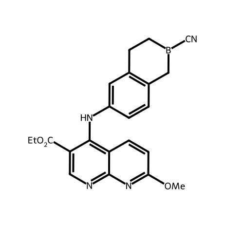 CCOC(=O)c1cnc2nc(OC)ccc2c1Nc1ccc2c(c1)CCB(C#N)C2